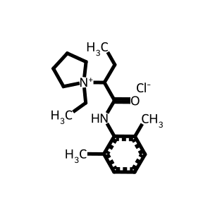 CCC(C(=O)Nc1c(C)cccc1C)[N+]1(CC)CCCC1.[Cl-]